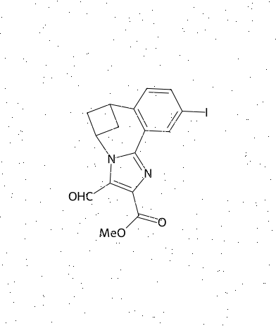 COC(=O)c1nc2n(c1C=O)C1CC(C1)c1ccc(I)cc1-2